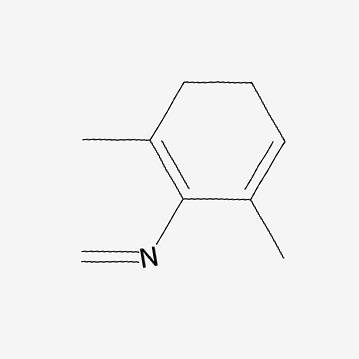 C=NC1=C(C)CCC=C1C